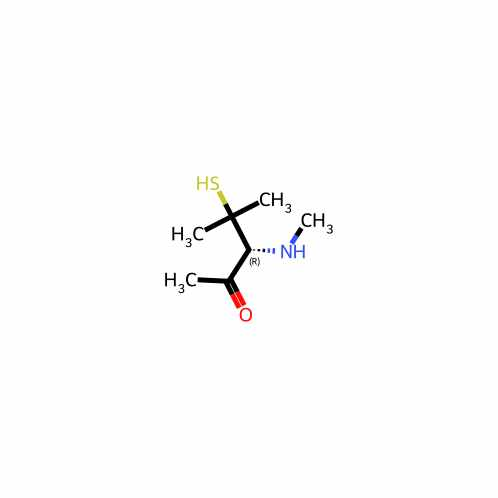 CN[C@H](C(C)=O)C(C)(C)S